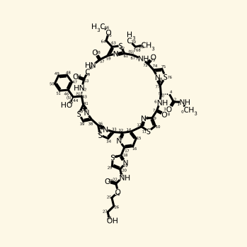 CNC(=O)C[C@@H]1NC(=O)c2csc(n2)-c2ccc(-c3nc(NC(=O)OCCCO)cs3)nc2-c2csc(n2)-c2csc(n2)[C@H]([C@@H](O)c2ccccc2)NC(=O)CNC(=O)c2nc(sc2COC)[C@H](C(C)C)NC(=O)c2csc1n2